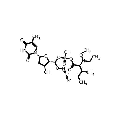 CC[C@H](C)[C@@H](C(=O)OP(=O)(O)OC(ON=[N+]=[N-])[C@H]1O[C@@H](n2cc(C)c(=O)[nH]c2=O)C[C@@H]1O)N(CC)OC